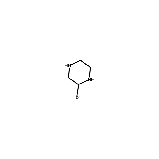 BrC1CNC[CH]N1